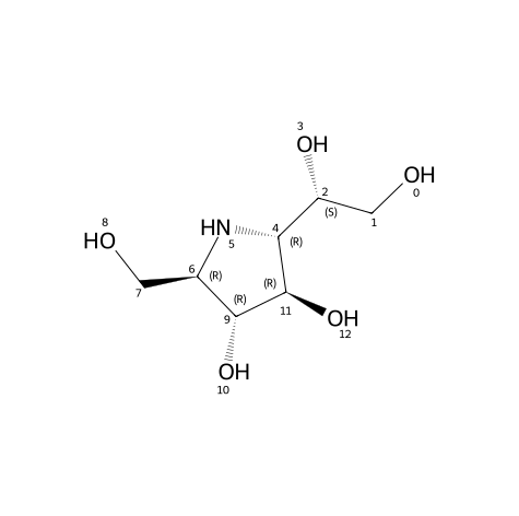 OC[C@@H](O)[C@H]1N[C@H](CO)[C@@H](O)[C@@H]1O